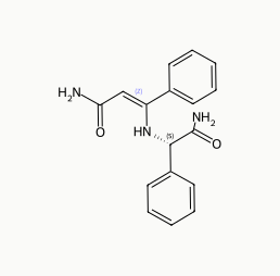 NC(=O)/C=C(\N[C@H](C(N)=O)c1ccccc1)c1ccccc1